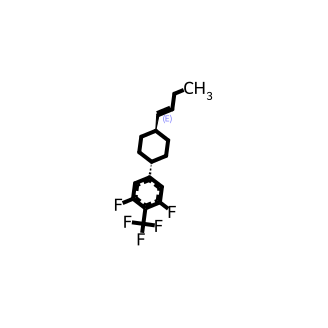 CC/C=C/[C@H]1CC[C@H](c2cc(F)c(C(F)(F)F)c(F)c2)CC1